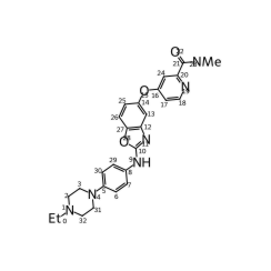 CCN1CCN(c2ccc(Nc3nc4cc(Oc5ccnc(C(=O)NC)c5)ccc4o3)cc2)CC1